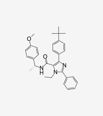 CCn1c(-c2ccccc2)nc(-c2ccc(C(C)(C)C)cc2)c1C(=O)N[C@H](C)c1ccc(OC)cc1